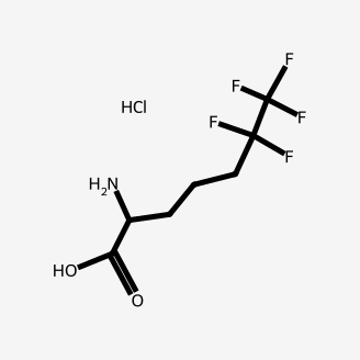 Cl.NC(CCCC(F)(F)C(F)(F)F)C(=O)O